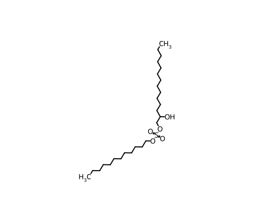 CCCCCCCCCCCCOS(=O)(=O)OCC(O)CCCCCCCCCCCC